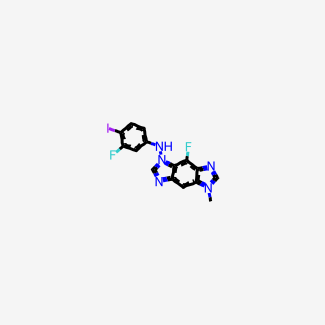 Cn1cnc2c(F)c3c(cc21)ncn3Nc1ccc(I)c(F)c1